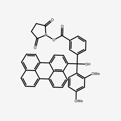 COc1ccc(C(O)(c2cccc(C(=O)ON3C(=O)CCC3=O)c2)c2ccc3c4cccc5cccc(c6cccc2c63)c54)c(OC)c1